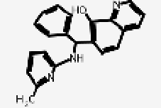 Cc1cccc(NC(c2ccccc2)c2ccc3cccnc3c2O)n1